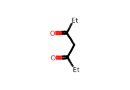 [CH2]CC(=O)CC(=O)CC